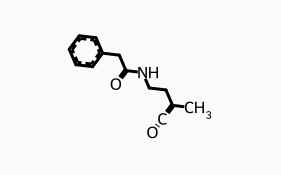 CC(=C=O)CCNC(=O)Cc1ccccc1